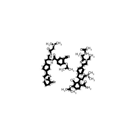 CC(C)Oc1ccc(C(=O)NC(CNC(=O)CN(C)C)Cc2ccc(-c3cn4cccc(Br)c4n3)cc2)cc1C#N.CCn1cc(-c2ccc(CC(CC(=O)N(C)C)c3c(C(N)=O)ccc(OC(C)C)c3Cl)cc2)nc1C(C)NC(C)=O